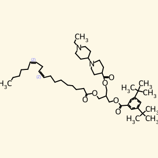 CCCCC/C=C\C/C=C\CCCCCCCC(=O)OCC(COC(=O)c1cc(C(C)(C)C)cc(C(C)(C)C)c1)COC(=O)C1CCN(C2CCN(CC)CC2)CC1